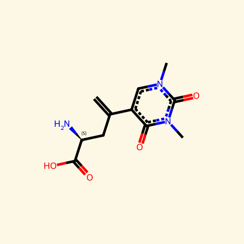 C=C(C[C@H](N)C(=O)O)c1cn(C)c(=O)n(C)c1=O